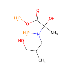 CC(CO)CN(P)C(C)(O)C(=O)OP